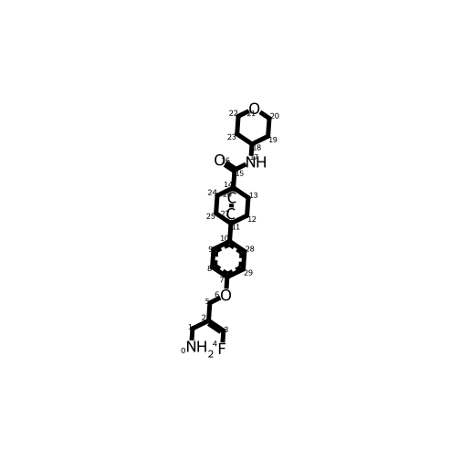 NCC(=CF)COc1ccc(C23CCC(C(=O)NC4CCOCC4)(CC2)CC3)cc1